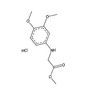 COC(=O)CNc1ccc(OC)c(OC)c1.Cl